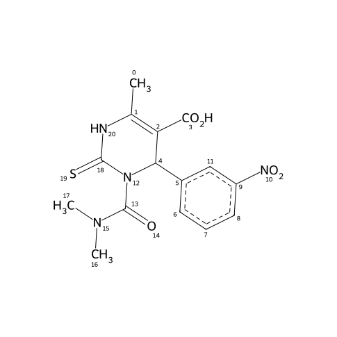 CC1=C(C(=O)O)C(c2cccc([N+](=O)[O-])c2)N(C(=O)N(C)C)C(=S)N1